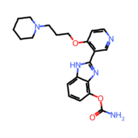 NC(=O)Oc1cccc2[nH]c(-c3cnccc3OCCCN3CCCCC3)nc12